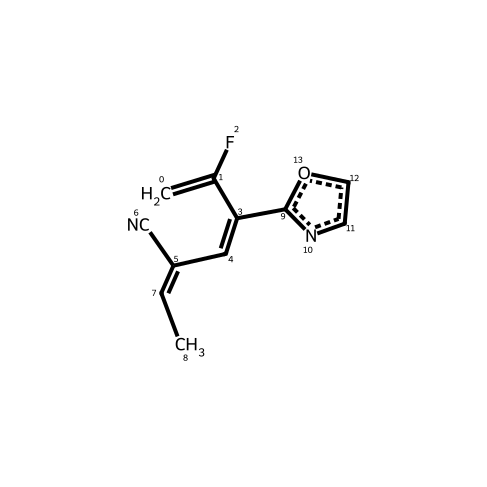 C=C(F)/C(=C\C(C#N)=C/C)c1ncco1